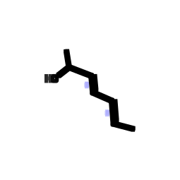 C/C=C/C=C/C(C)O